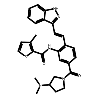 Cc1ccsc1C(=O)Nc1cc(C(=O)N2CCC(N(C)C)C2)ccc1/C=C/c1n[nH]c2ccccc12